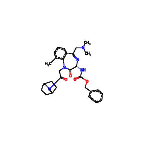 Cc1cccc2c1N(CC(=O)N1CC3CCC(CC3)C1)C(=O)[C@@H](NC(=O)OCc1ccccc1)N=C2CN(C)C